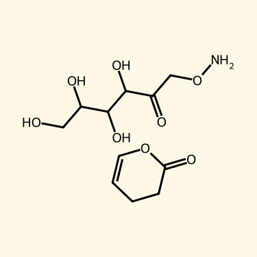 NOCC(=O)C(O)C(O)C(O)CO.O=C1CCC=CO1